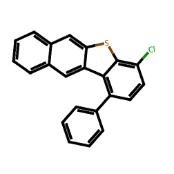 Clc1ccc(-c2ccccc2)c2c1sc1cc3ccccc3cc12